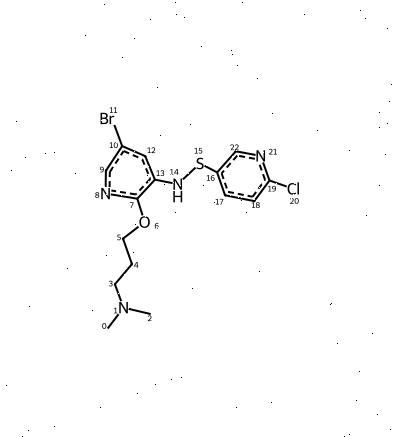 CN(C)CCCOc1ncc(Br)cc1NSc1ccc(Cl)nc1